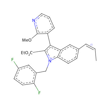 C/C=C\c1ccc2c(c1)c(-c1cccnc1OC)c(C(=O)OCC)n2Cc1cc(F)ccc1F